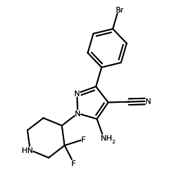 N#Cc1c(-c2ccc(Br)cc2)nn(C2CCNCC2(F)F)c1N